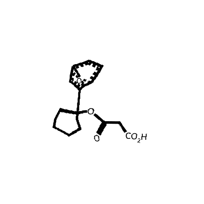 O=C(O)CC(=O)OC1(c2cc3ccc2o3)CCCC1